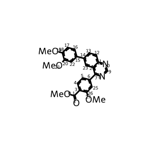 COC(=O)c1ccc(-c2ncnc3ccc(-c4ccc(OC)c(OC)c4)cc23)cc1OC